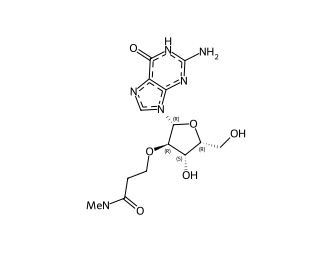 CNC(=O)CCO[C@@H]1[C@@H](O)[C@@H](CO)O[C@H]1n1cnc2c(=O)[nH]c(N)nc21